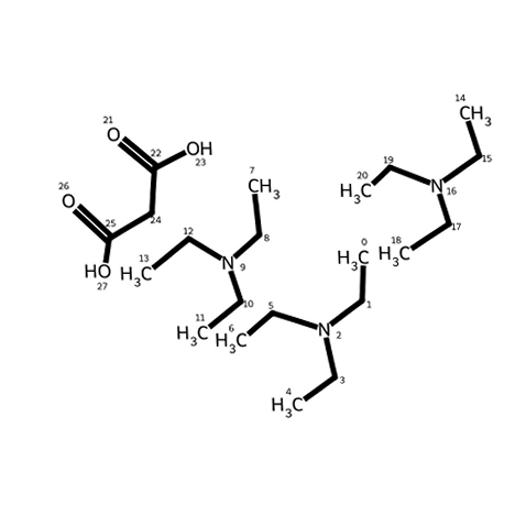 CCN(CC)CC.CCN(CC)CC.CCN(CC)CC.O=C(O)CC(=O)O